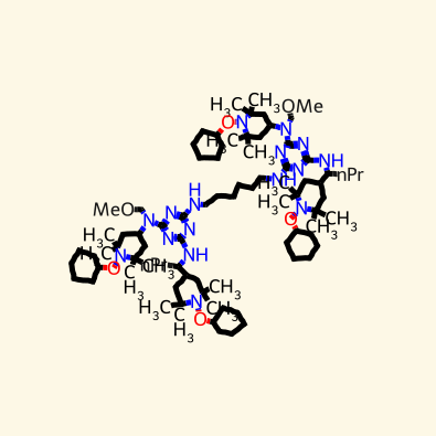 CCCC(Nc1nc(NCCCCCCNc2nc(NC(CCC)C3CC(C)(C)N(OC4CCCCC4)C(C)(C)C3)nc(N(COC)C3CC(C)(C)N(OC4CCCCC4)C(C)(C)C3)n2)nc(N(COC)C2CC(C)(C)N(OC3CCCCC3)C(C)(C)C2)n1)C1CC(C)(C)N(OC2CCCCC2)C(C)(C)C1